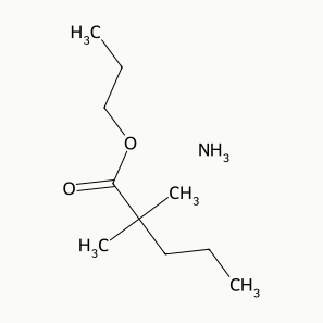 CCCOC(=O)C(C)(C)CCC.N